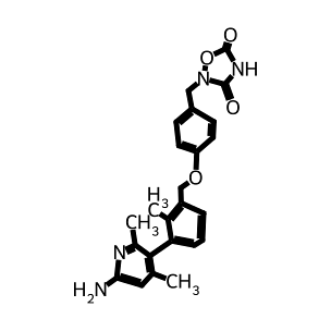 Cc1cc(N)nc(C)c1-c1cccc(COc2ccc(Cn3oc(=O)[nH]c3=O)cc2)c1C